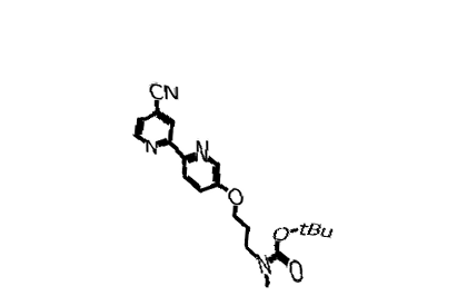 CN(CCCOc1ccc(-c2cc(C#N)ccn2)nc1)C(=O)OC(C)(C)C